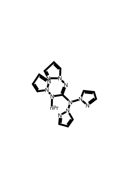 CCCN(/C(=N\n1cccn1)N(n1cccn1)n1cccn1)n1cccn1